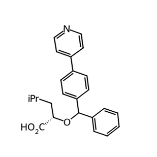 CC(C)C[C@H](OC(c1ccccc1)c1ccc(-c2ccncc2)cc1)C(=O)O